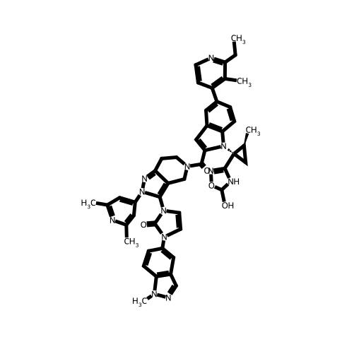 CCc1nccc(-c2ccc3c(c2)cc(C(=O)N2CCc4nn(-c5cc(C)nc(C)c5)c(-n5ccn(-c6ccc7c(cnn7C)c6)c5=O)c4C2)n3[C@@]2(C3=NOC(O)N3)C[C@@H]2C)c1C